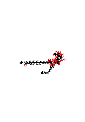 CCCCCCCCCCCCCCCC(=O)O[C@H](COC(=O)CCCCCCCCCCCCCCCSC(=O)CCC)COP(=O)(O)OC1C(O)[C@@H](OP(=O)(O)O)C(O)[C@@H](O)[C@H]1O